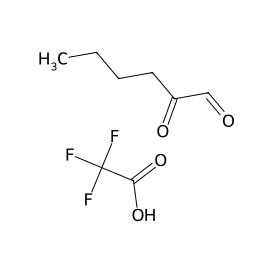 CCCCC(=O)C=O.O=C(O)C(F)(F)F